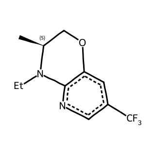 CCN1c2ncc(C(F)(F)F)cc2OC[C@@H]1C